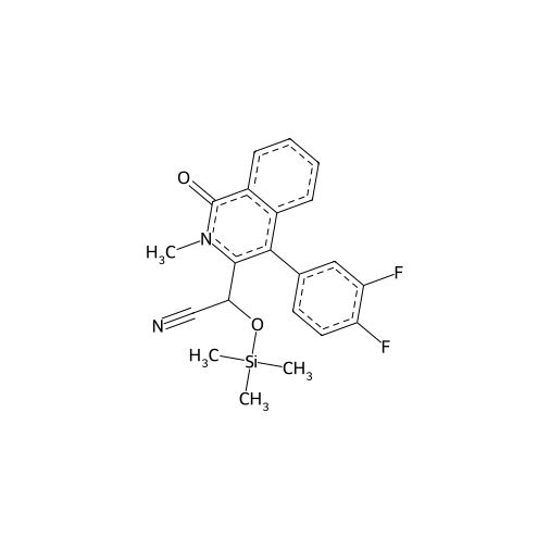 Cn1c(C(C#N)O[Si](C)(C)C)c(-c2ccc(F)c(F)c2)c2ccccc2c1=O